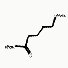 CCCCCCCCCCC(=O)CCCCC